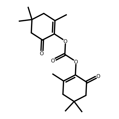 CC1=C(OC(=O)OC2=C(C)CC(C)(C)CC2=O)C(=O)CC(C)(C)C1